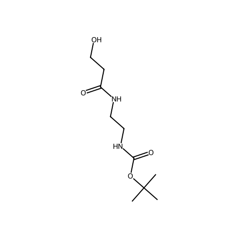 CC(C)(C)OC(=O)NCCNC(=O)CCO